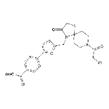 COC(=O)c1ccc(-c2ccc(CN3C(=O)CSC34CCN(C(=O)CCl)CC4)o2)cc1